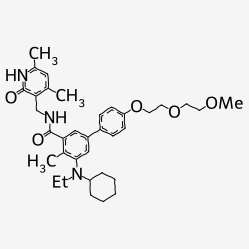 CCN(c1cc(-c2ccc(OCCOCCOC)cc2)cc(C(=O)NCc2c(C)cc(C)[nH]c2=O)c1C)C1CCCCC1